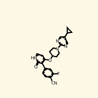 N#Cc1ccc(-c2c(OC3CCN(c4ncc(C5CC5)cn4)CC3)cc[nH]c2=O)cc1F